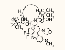 COc1ccc2nc(C(F)(F)F)c3c(c2c1)[C@H](N1CCOCC1)C[C@]1(C[C@H]2C(=O)N[C@]4(C(=O)NS(=O)(=O)C5(C)CC5)C[C@H]4C=CCCCCC[C@H](N(C(=O)O)C(C)(C)C)C(=O)N2C1)O3